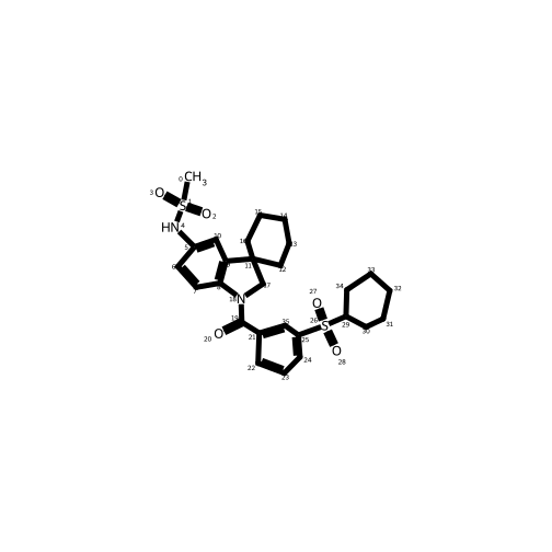 CS(=O)(=O)Nc1ccc2c(c1)C1(CCCCC1)CN2C(=O)c1cccc(S(=O)(=O)C2CCCCC2)c1